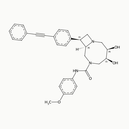 COc1ccc(NC(=O)N2C[C@H](O)[C@H](O)CN3C[C@H](c4ccc(C#Cc5ccccc5)cc4)[C@@H]3C2)cc1